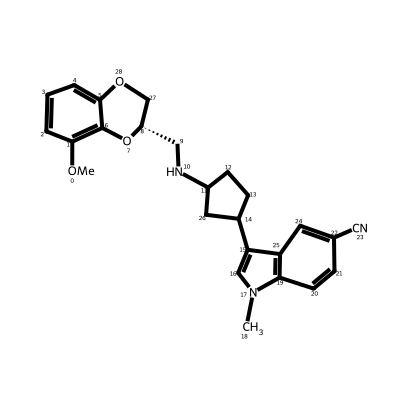 COc1cccc2c1O[C@@H](CNC1CCC(c3cn(C)c4ccc(C#N)cc34)C1)CO2